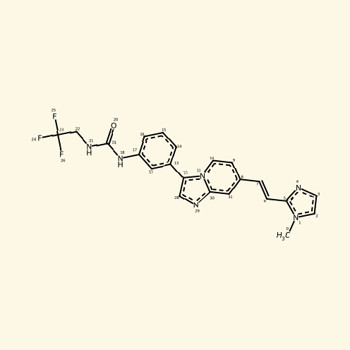 Cn1ccnc1C=Cc1ccn2c(-c3cccc(NC(=O)NCC(F)(F)F)c3)cnc2c1